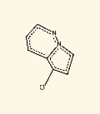 Clc1ccn2ncccc12